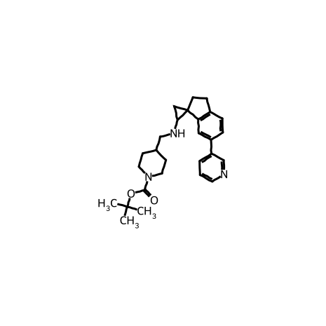 CC(C)(C)OC(=O)N1CCC(CNC2CC23CCc2ccc(-c4cccnc4)cc23)CC1